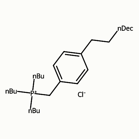 CCCCCCCCCCCCc1ccc(C[P+](CCCC)(CCCC)CCCC)cc1.[Cl-]